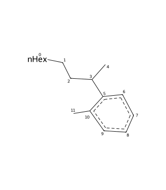 CCCCCCCCC(C)c1ccccc1C